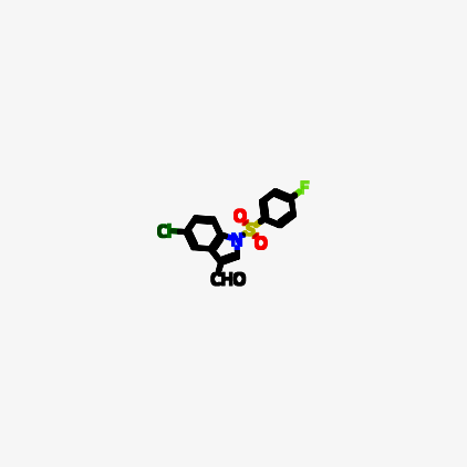 O=Cc1cn(S(=O)(=O)c2ccc(F)cc2)c2ccc(Cl)cc12